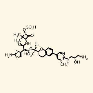 C[n+]1cc(-c2ccc3c(c2)CC[C@H]([C@](C)(O/N=C(\C(=O)NC2C(=O)N(OS(=O)(=O)O)C2(C)C)c2csc(N)n2)C(=O)O)O3)cnc1NC[C@@H](O)CN